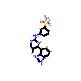 Cc1cnc(Nc2cccc(S(N)(=O)=O)c2)nc1-c1cccc2[nH]cnc12